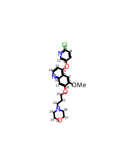 COc1cc2c(Oc3ccc(Cl)nc3)ccnc2cc1OCCCN1CCOCC1